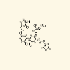 [CH2]c1ccc(OCCC2CCNC2=O)cc1-c1ccc(OCCN2CCCC2)c(OCC(=O)OC(C)(C)C)c1